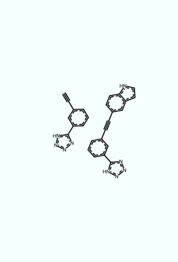 C#Cc1cccc(-c2nnn[nH]2)c1.C(#Cc1ccc2[nH]ccc2c1)c1cccc(-c2nnn[nH]2)c1